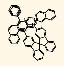 c1ccc(-c2nc(-c3ccccc3)nc(-n3c4cc5c(cc4c4c6ccccc6ccc43)-c3ccccc3C53c4ccccc4-c4ccc(-c5c6ccccc6c(-c6ccccc6)c6ccccc56)cc43)n2)cc1